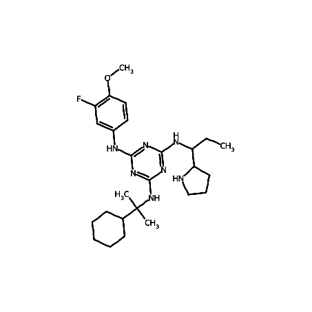 CCC(Nc1nc(Nc2ccc(OC)c(F)c2)nc(NC(C)(C)C2CCCCC2)n1)C1CCCN1